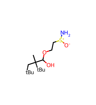 CC(C)(C)CC(C)(C(O)OCC[S+](N)[O-])C(C)(C)C